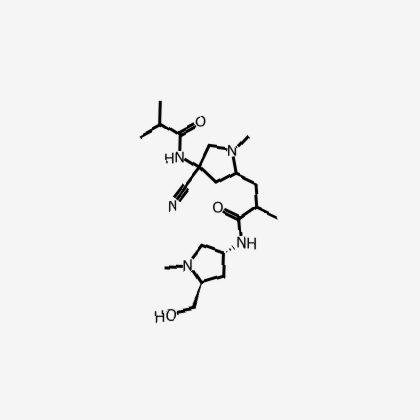 CC(C)C(=O)NC1(C#N)CC(CC(C)C(=O)N[C@@H]2C[C@@H](CO)N(C)C2)N(C)C1